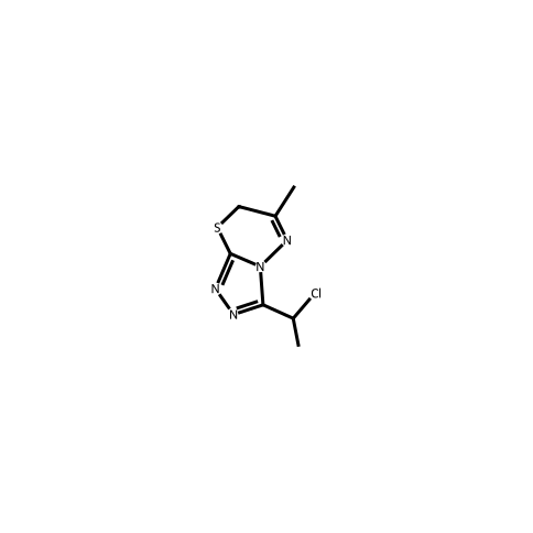 CC1=Nn2c(nnc2C(C)Cl)SC1